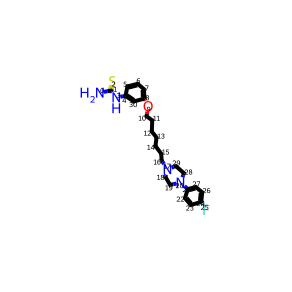 NC(=S)Nc1cccc(OCCCCCCCN2CCN(c3ccc(F)cc3)CC2)c1